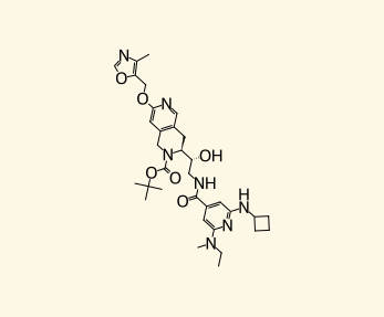 CCN(C)c1cc(C(=O)NC[C@@H](O)[C@@H]2Cc3cnc(OCc4ocnc4C)cc3CN2C(=O)OC(C)(C)C)cc(NC2CCC2)n1